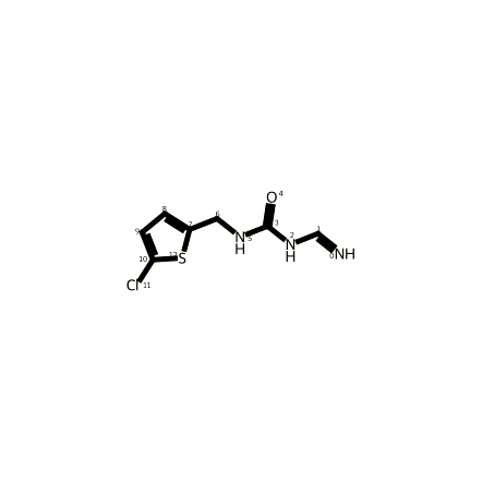 N=CNC(=O)NCc1ccc(Cl)s1